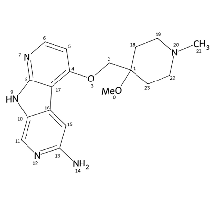 COC1(COc2ccnc3[nH]c4cnc(N)cc4c23)CCN(C)CC1